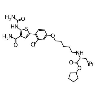 CC(C)C[C@H](NCCCCCOc1ccc(-c2cc(C(N)=O)c(NC(N)=O)s2)c(Cl)c1)C(=O)OC1CCCC1